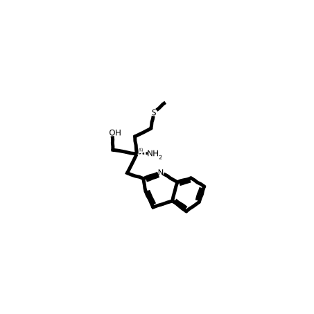 CSCC[C@](N)(CO)Cc1ccc2ccccc2n1